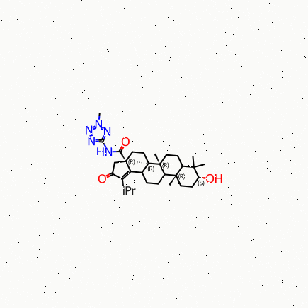 CC(C)C1=C2C3CCC4[C@@]5(C)CC[C@H](O)C(C)(C)C5CC[C@@]4(C)[C@]3(C)CC[C@@]2(C(=O)Nc2nnn(C)n2)CC1=O